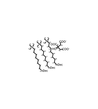 CCCCCCCCCCCCCCCCCC[N+](C)(C)C.CCCCCCCCCCCCCCCCCC[N+](C)(C)C.CCCCCCCCCCCCCCCCCC[N+](C)(C)C.O=C([O-])CC(O)(CC(=O)[O-])C(=O)[O-]